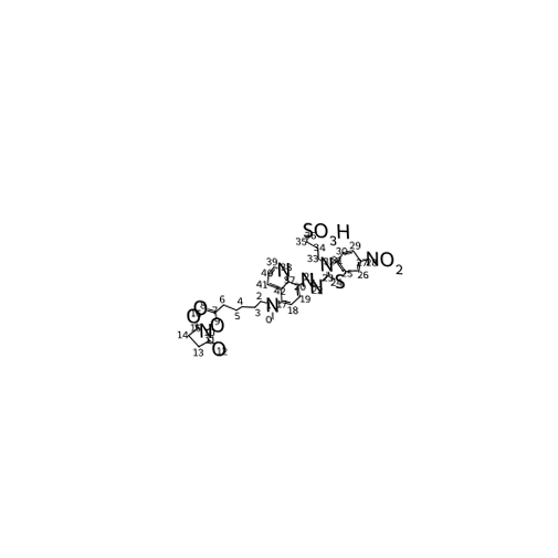 CN(CCCCCC(=O)ON1C(=O)CCC1=O)c1ccc(N=Nc2sc3cc([N+](=O)[O-])ccc3[n+]2CCCS(=O)(=O)O)c2ncccc12